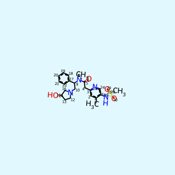 Cc1cc(CC(=O)N(C)C(CN2CCC(O)C2)c2ccccc2)ncc1NS(C)(=O)=O